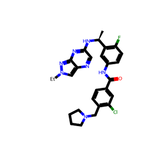 CCn1cc2ncc(N[C@@H](C)c3cc(NC(=O)c4ccc(CN5CCCC5)c(Cl)c4)ccc3F)nc2n1